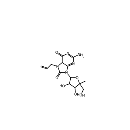 C=CCN1C(=O)N(C2OC(C)(CO)C(O)C2O)C2=NC(N)=NC(=O)C21